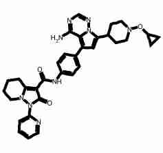 Nc1ncnn2c(C3CCN(OC4CC4)CC3)cc(-c3ccc(NC(=O)c4c5n(n(-c6ccccn6)c4=O)CCCC5)cc3)c12